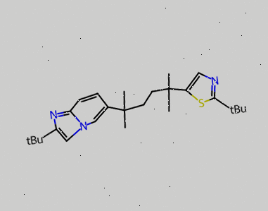 CC(C)(C)c1cn2cc(C(C)(C)CCC(C)(C)c3cnc(C(C)(C)C)s3)ccc2n1